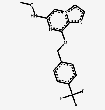 CONc1cn2ccnc2c(OCc2ccc(C(F)(F)F)cc2)n1